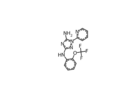 Nc1nc(Nc2ccccc2OC(F)(F)F)nn1-c1ccccn1